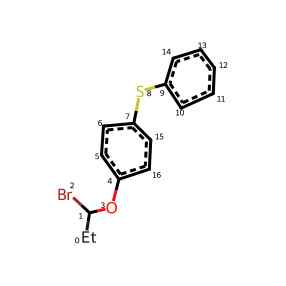 CCC(Br)Oc1ccc(Sc2ccccc2)cc1